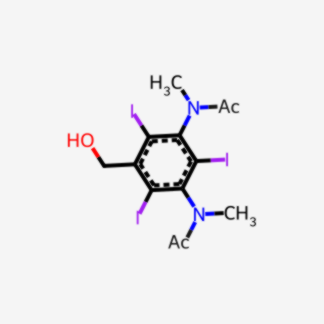 CC(=O)N(C)c1c(I)c(CO)c(I)c(N(C)C(C)=O)c1I